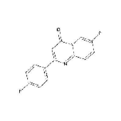 O=c1cc(-c2ccc(F)cc2)nc2ccc(Cl)cn12